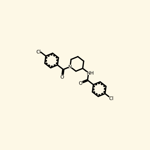 O=C(NC1CCCN(C(=O)c2ccc(Cl)cc2)C1)c1ccc(Cl)cc1